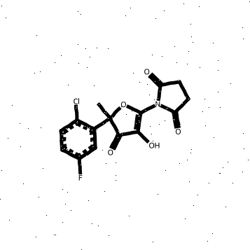 CC1(c2cc(F)ccc2Cl)OC(N2C(=O)CCC2=O)=C(O)C1=O